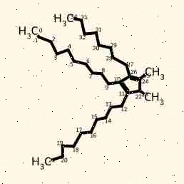 CCCCCCCCCCC1=C(CCCCCCCCCC)C(C)C(C)=C1CCCCCCCC